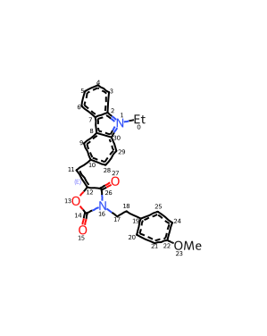 CCn1c2ccccc2c2cc(/C=C3/OC(=O)N(CCc4ccc(OC)cc4)C3=O)ccc21